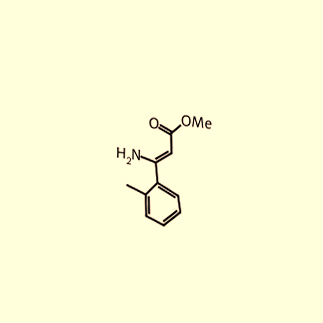 COC(=O)C=C(N)c1ccccc1C